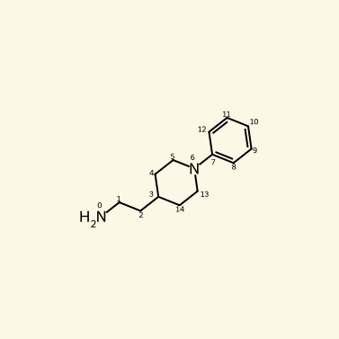 NCCC1CCN(c2ccccc2)CC1